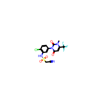 Cn1c(C(F)(F)F)cc(=O)n(-c2ccc(Cl)c(NS(=O)(=O)CC#N)c2)c1=O